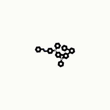 C(=C\c1ccc(N(c2ccccc2)c2ccc3c(c2)c2cc(-c4ccccc4-c4ccccc4)ccc2n3-c2ccccc2)cc1)/c1ccccc1